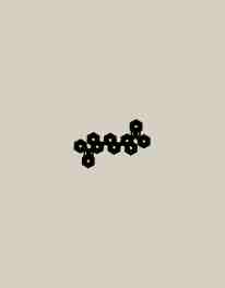 c1ccc(N(c2ccccc2)c2ccc(-c3cccc4c(-c5ccc(N(c6ccccc6)c6ccccc6)c6ccccc56)cccc34)c3ccccc23)cc1